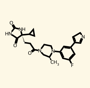 C[C@H]1CN(C(=O)CC[C@@]2(C3CC3)NC(=O)NC2=O)CCN1c1cc(F)cc(C2=CCN=C2)c1